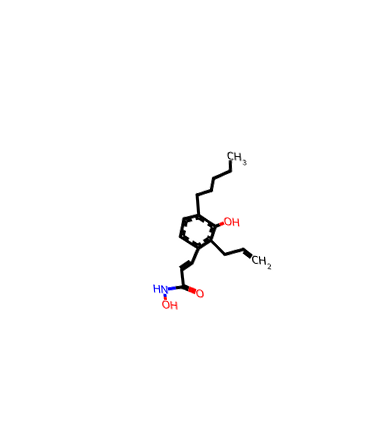 C=CCc1c(C=CC(=O)NO)ccc(CCCCC)c1O